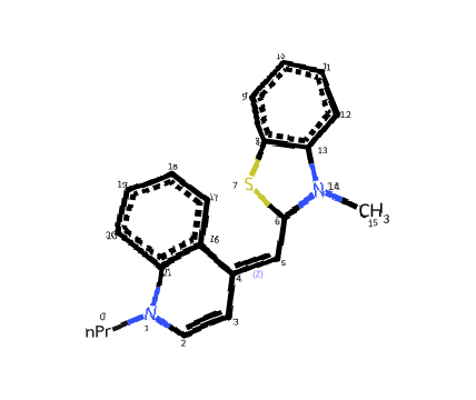 CCCN1C=C/C(=C/C2Sc3ccccc3N2C)c2ccccc21